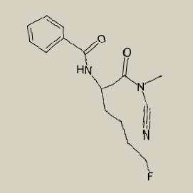 CN(C#N)C(=O)C(CCCCF)NC(=O)c1ccccc1